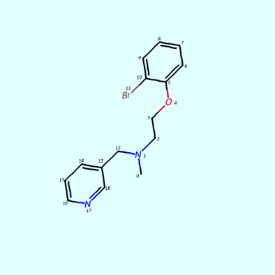 CN(CCOc1ccccc1Br)Cc1cccnc1